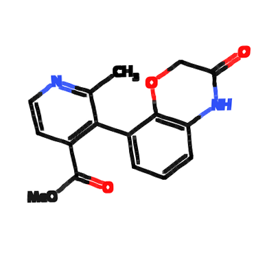 COC(=O)c1ccnc(C)c1-c1cccc2c1OCC(=O)N2